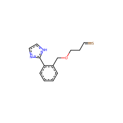 S=CCCOCc1ccccc1-c1ncc[nH]1